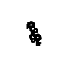 O=C(Cc1ccccn1)N1CCOc2c(Br)cccc21